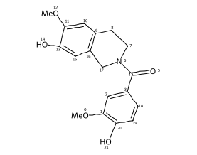 COc1cc(C(=O)N2CCc3cc(OC)c(O)cc3C2)ccc1O